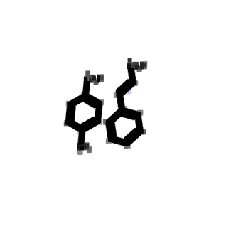 Nc1ccc(C(=O)O)cc1.O=C(O)/C=C/c1ccccc1